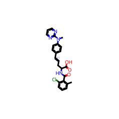 Cc1cccc(Cl)c1C(=O)NC(C/C=C/c1ccc(N(C)c2ncccn2)cc1)C(=O)O